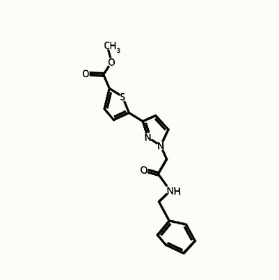 COC(=O)c1ccc(-c2ccn(CC(=O)NCc3ccccc3)n2)s1